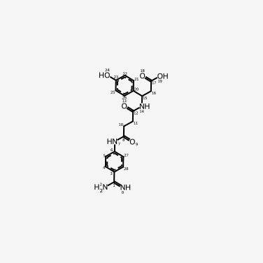 N=C(N)c1ccc(NC(=O)CCC(=O)NC(CC(=O)O)c2ccc(O)cc2)cc1